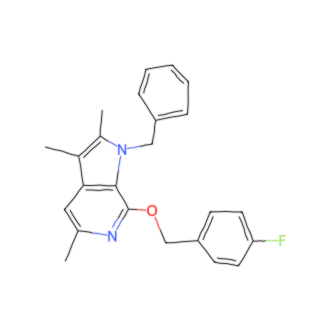 Cc1cc2c(C)c(C)n(Cc3ccccc3)c2c(OCc2ccc(F)cc2)n1